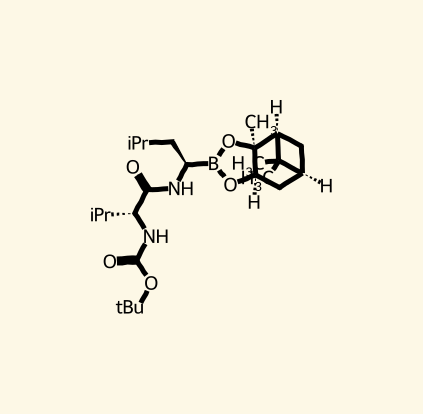 CC(C)C[C@H](NC(=O)[C@H](NC(=O)OC(C)(C)C)C(C)C)B1O[C@@H]2C[C@@H]3C[C@@H](C3(C)C)[C@]2(C)O1